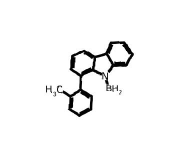 Bn1c2ccccc2c2cccc(-c3ccccc3C)c21